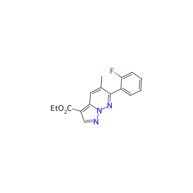 CCOC(=O)c1cnn2nc(-c3ccccc3F)c(C)cc12